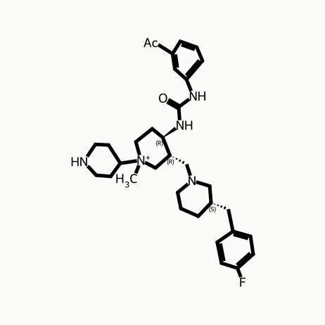 CC(=O)c1cccc(NC(=O)N[C@@H]2CC[N+](C)(C3CCNCC3)C[C@H]2CN2CCC[C@@H](Cc3ccc(F)cc3)C2)c1